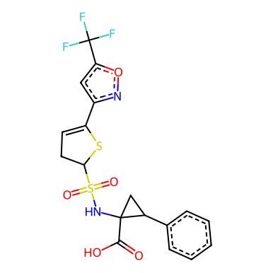 O=C(O)C1(NS(=O)(=O)C2CC=C(c3cc(C(F)(F)F)on3)S2)CC1c1ccccc1